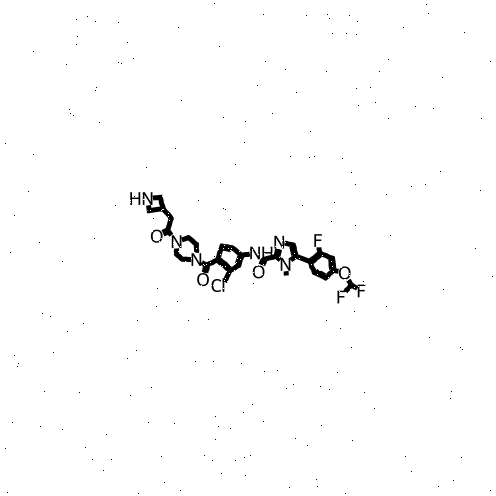 Cn1c(-c2ccc(OC(F)F)cc2F)cnc1C(=O)Nc1ccc(C(=O)N2CCN(C(=O)CC3CNC3)CC2)c(Cl)c1